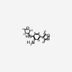 Cc1noc(C)c1-c1ccc(NC2CCOC2)c(N)c1